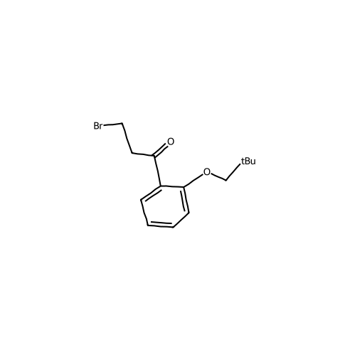 CC(C)(C)COc1ccccc1C(=O)CCBr